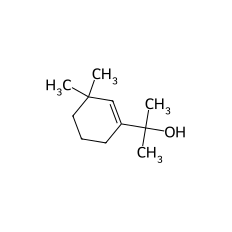 CC1(C)C=C(C(C)(C)O)CCC1